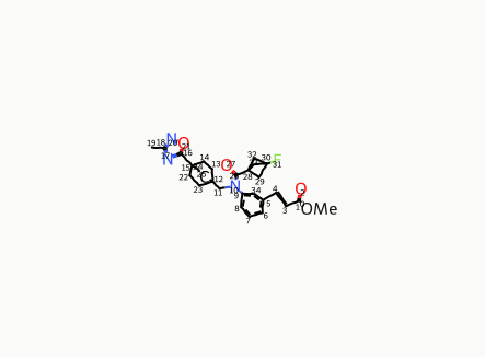 COC(=O)/C=C/c1cccc(N(CC23CCC(c4nc(C)no4)(CC2)CC3)C(=O)C23CC(F)(C2)C3)c1